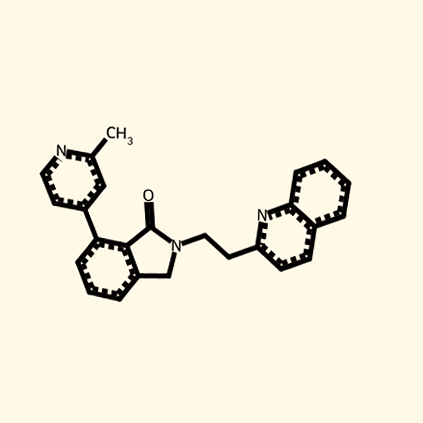 Cc1cc(-c2cccc3c2C(=O)N(CCc2ccc4ccccc4n2)C3)ccn1